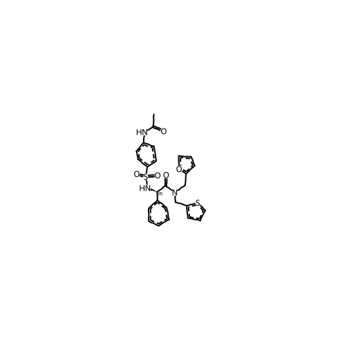 CC(=O)Nc1ccc(S(=O)(=O)N[C@@H](C(=O)N(Cc2ccco2)Cc2cccs2)c2ccccc2)cc1